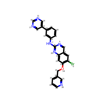 Brc1cc2cnc(Nc3cccc(-c4cncnc4)c3)nc2cc1OCc1cccnc1